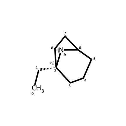 CC[C@]12CCCC(CC1)N2